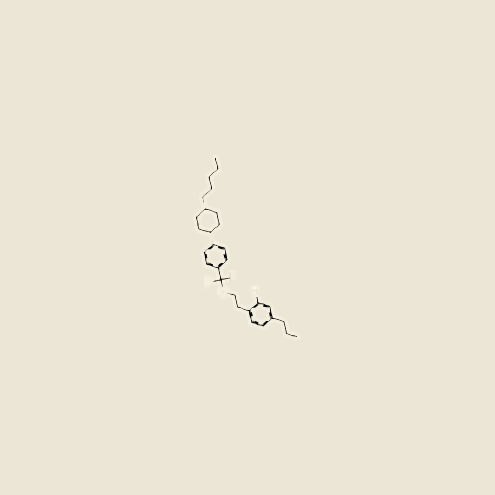 CCCCC[C@H]1CC[C@H](c2ccc(C(F)(F)OCCc3ccc(CCC)cc3F)cc2)CC1